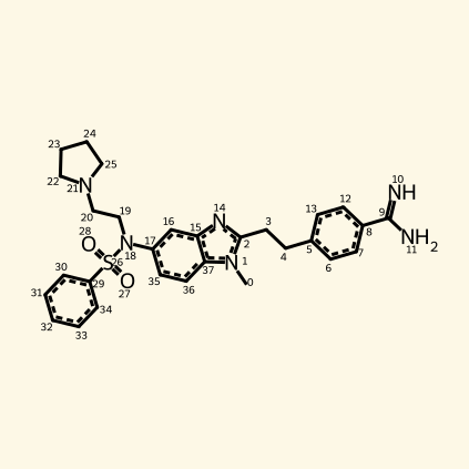 Cn1c(CCc2ccc(C(=N)N)cc2)nc2cc(N(CCN3CCCC3)S(=O)(=O)c3ccccc3)ccc21